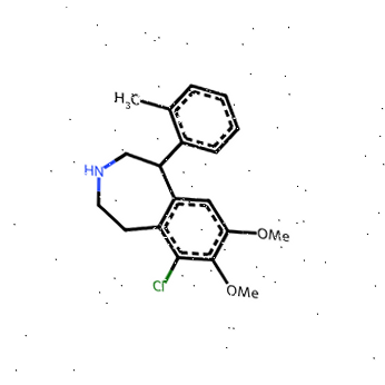 COc1cc2c(c(Cl)c1OC)CCNCC2c1ccccc1C